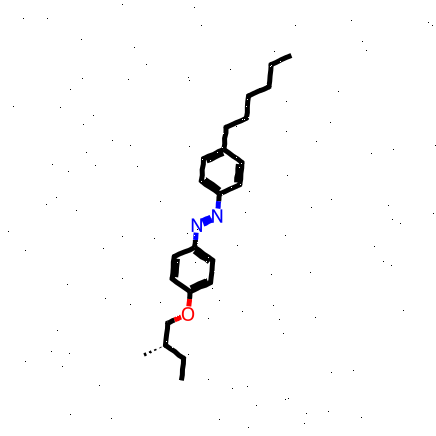 CCCCCCc1ccc(/N=N/c2ccc(OC[C@@H](C)CC)cc2)cc1